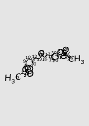 CCCS(=O)(=O)Oc1cccc(/C=C/C(=O)/C=C/c2cccc(OS(=O)(=O)CCC)c2)c1